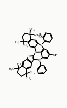 Cc1ccccc1N1c2cc3c(cc2B2c4sc5cc6c(cc5c4N(c4ccccc4)c4cc(C(C)C)cc1c42)C(C)(C)CCC6(C)C)C(C)(C)CCC3(C)C